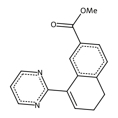 COC(=O)c1ccc2c(c1)C(c1ncccn1)=CCC2